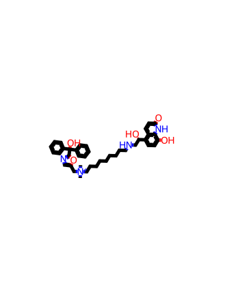 C[N+](C)(CCCCCCCCCNC[C@@H](O)c1ccc(O)c2[nH]c(=O)ccc12)Cc1cnc(C(O)(c2ccccc2)c2ccccc2)o1